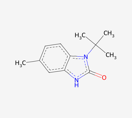 Cc1ccc2c(c1)[nH]c(=O)n2C(C)(C)C